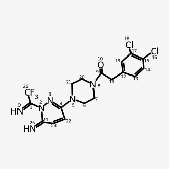 N=C(n1nc(N2CCN(C(=O)Cc3ccc(Cl)c(Cl)c3)CC2)ccc1=N)C(F)(F)F